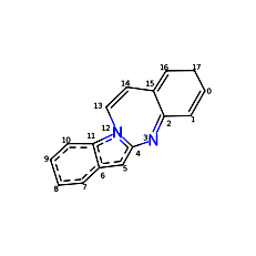 C1=CC2=Nc3cc4ccccc4n3C=CC2=CC1